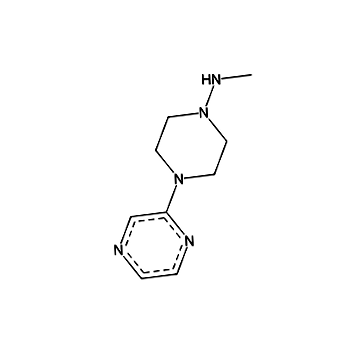 CNN1CCN(c2cnccn2)CC1